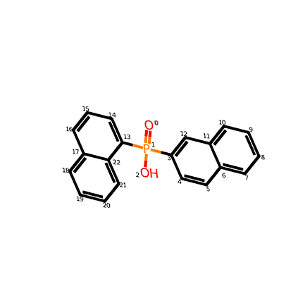 O=P(O)(c1ccc2ccccc2c1)c1cccc2ccccc12